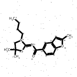 CCCCN1CC(C)(C)SC1=NC(=O)c1ccc2oc(C)cc2c1